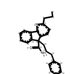 CCCc1ccc2c(n1)-c1ccccc1C2(CCCc1ccccc1)C(N)=O